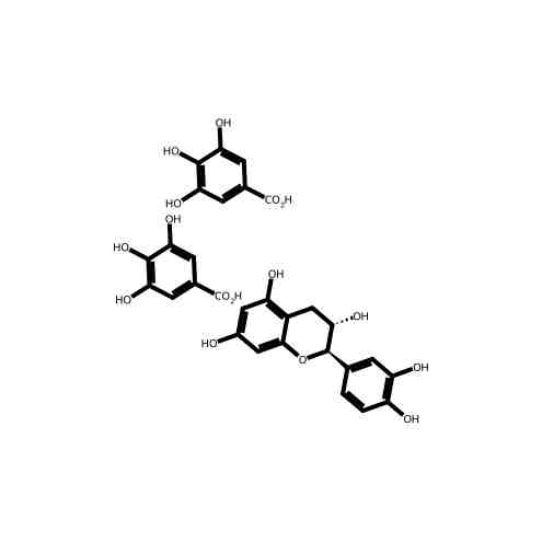 O=C(O)c1cc(O)c(O)c(O)c1.O=C(O)c1cc(O)c(O)c(O)c1.Oc1cc(O)c2c(c1)O[C@H](c1ccc(O)c(O)c1)[C@@H](O)C2